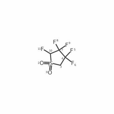 O=S1(=O)CC(F)(F)C(F)(F)C1F